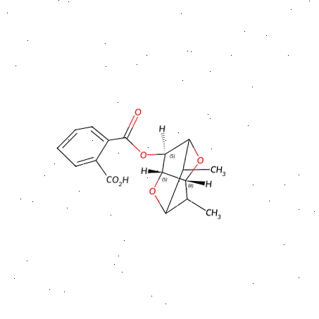 CC1C2O[C@H]3[C@H](OC1[C@@H]3OC(=O)c1ccccc1C(=O)O)C2C